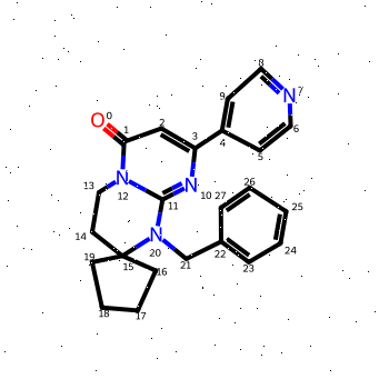 O=c1cc(-c2ccncc2)nc2n1CCC1(CCCC1)N2Cc1ccccc1